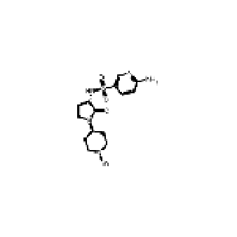 CC(C)N1CCC(N2CC[C@H](NS(=O)(=O)c3ccc(N)nc3)C2=O)CC1